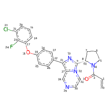 C=CC(=O)N1CCC[C@H]1c1nc(-c2ccc(Oc3cccc(Cl)c3F)cc2)c2cnccn12